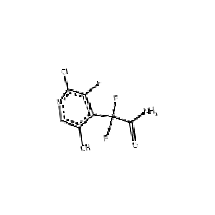 N#Cc1cnc(Cl)c(F)c1C(F)(F)C(N)=O